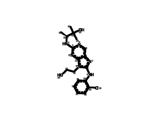 C[C@H](Nc1ncc2nc(Nc3ccccc3Cl)n(CCO)c2n1)C(C)(C)O